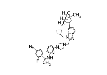 C=C(CC(C)(C)C)c1ccc2nc(CN3CCN(c4cccc(NC(=C)c5ccc(C#N)cc5F)n4)CC3)n(CC3CCC3)c2c1